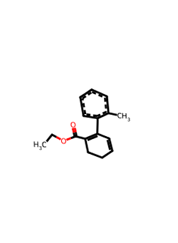 CCOC(=O)C1=C(c2ccccc2C)C=CCC1